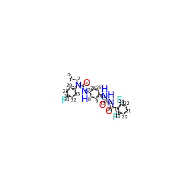 CCCN(C(=O)Nc1ccc(NC(=O)NC(=O)c2c(F)cccc2F)cc1)c1ccc(F)cc1